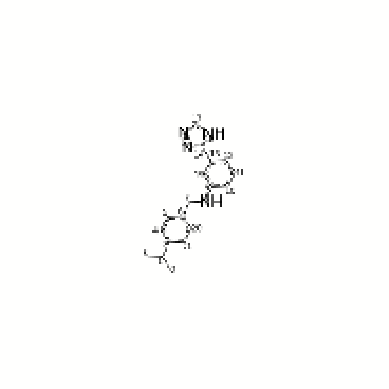 CC(C)c1ccc(CNc2cccc(-c3nnc[nH]3)c2)cc1